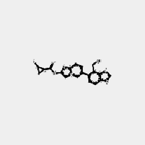 O=C(Nc1cn2cc(-c3ccc4ncsc4c3CO)ccc2n1)C1CC1F